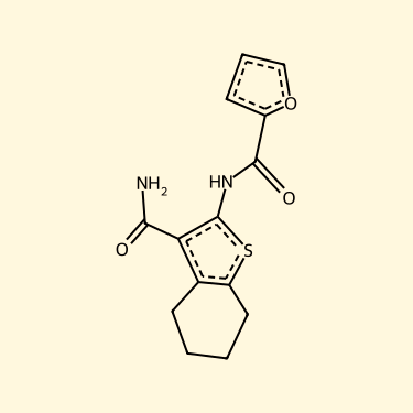 NC(=O)c1c(NC(=O)c2ccco2)sc2c1CCCC2